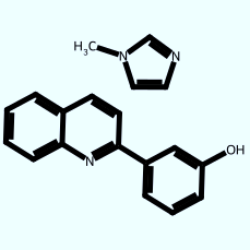 Cn1ccnc1.Oc1cccc(-c2ccc3ccccc3n2)c1